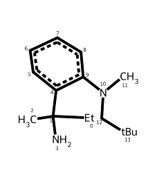 CCC(C)(N)c1ccccc1N(C)CC(C)(C)C